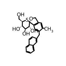 Cc1cc2c(cc1Cc1ccc3ccccc3c1)[C@]1(OC2)S[C@H](CO)[C@@H](O)[C@H](O)[C@H]1O